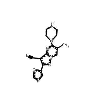 Cc1cn2nc(-c3cnco3)c(C#N)c2nc1N1CCNCC1